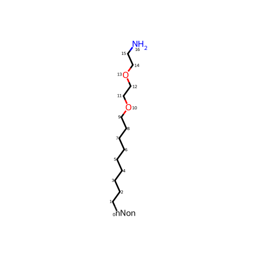 CCCCCCCCCCCCCCCCCCOCCOCCN